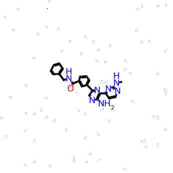 CNc1nccc(-c2nc(-c3cccc(C(=O)NCc4ccccc4)c3)cnc2N)n1